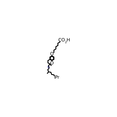 CC(C)CCCC(C)C/C=C/C1(C)CCc2cc(OCCCCCCCC(=O)O)ccc2O1